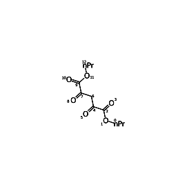 CCCOC(=O)C(=O)CC(=O)C(=O)OCCC